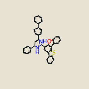 C1=C(c2ccc(-c3ccccc3)cc2)NC(c2cc3c4ccccc4sc3c3c2oc2ccccc23)NC1c1ccccc1